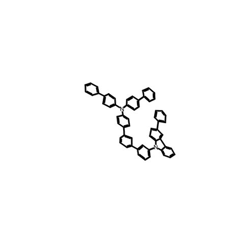 c1ccc(-c2ccc(N(c3ccc(-c4ccccc4)cc3)c3ccc(-c4cccc(-c5cccc(-n6c7ccccc7c7cc(-c8ccccc8)ccc76)c5)c4)cc3)cc2)cc1